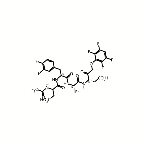 CC(C)[C@H](NC(=O)[C@H](Cc1ccc(F)c(F)c1)NC(=O)C(CC(=O)O)NC(=O)C(F)(F)F)C(=O)N[C@@H](CC(=O)O)C(=O)COc1c(F)c(F)cc(F)c1F